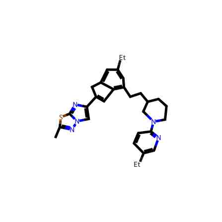 CCc1ccc(N2CCCC(CCc3cc(CC)cc4c3C=C(c3cn5nc(C)sc5n3)C4)C2)nc1